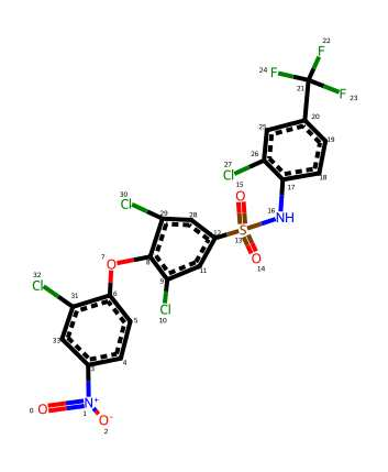 O=[N+]([O-])c1ccc(Oc2c(Cl)cc(S(=O)(=O)Nc3ccc(C(F)(F)F)cc3Cl)cc2Cl)c(Cl)c1